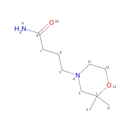 CC1(C)CN(CCCC(N)=O)CCO1